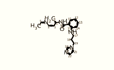 C=C(/C=C\N=C/C)NC(=O)c1ccccc1NCCCn1ccnc1